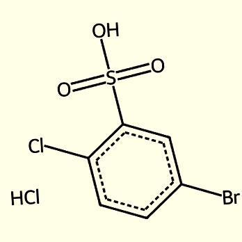 Cl.O=S(=O)(O)c1cc(Br)ccc1Cl